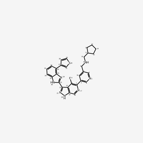 Fc1c(-c2cncc(CNCC3CCCC3)c2)ncc2[nH]nc(-c3nc4c(-c5ccsc5)cccc4[nH]3)c12